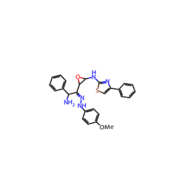 COc1ccc(N/N=C(\C(N)c2ccccc2)C2OC2Nc2nc(-c3ccccc3)cs2)cc1